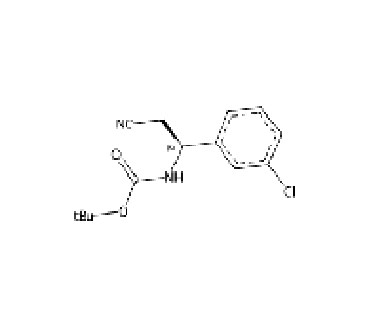 CC(C)(C)OC(=O)N[C@@H](CC#N)c1cccc(Cl)c1